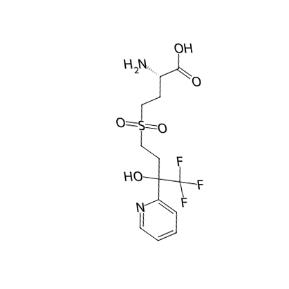 N[C@@H](CCS(=O)(=O)CCC(O)(c1ccccn1)C(F)(F)F)C(=O)O